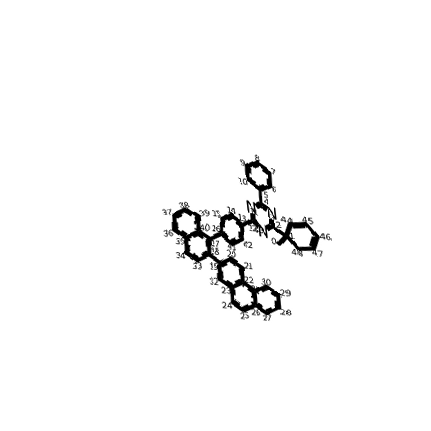 CC1(c2nc(-c3ccccc3)nc(-c3ccc(-c4c(-c5ccc6c(ccc7ccccc76)c5)ccc5ccccc45)cc3)n2)C=CC=CC1